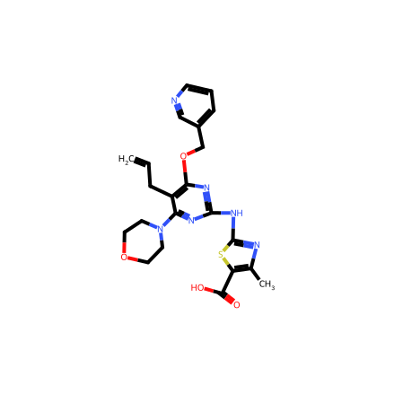 C=CCc1c(OCc2cccnc2)nc(Nc2nc(C)c(C(=O)O)s2)nc1N1CCOCC1